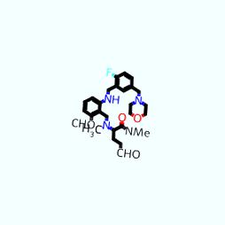 CNC(=O)C(CCC=O)N(C)Cc1c(C=O)cccc1NCc1cc(CN2CCOCC2)ccc1F